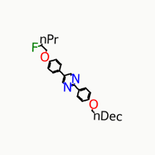 CCCCCCCCCCCOc1ccc(-c2ncc(-c3ccc(OCC(F)CCC)cc3)cn2)cc1